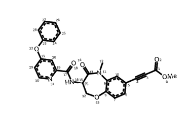 COC(=O)C#Cc1ccc2c(c1)N(C)C(=O)[C@H](NC(=O)c1cc(Oc3ccccc3)ccn1)CO2